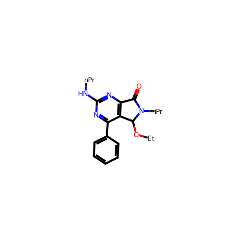 CCCNc1nc2c(c(-c3ccccc3)n1)C(OCC)N(C(C)C)C2=O